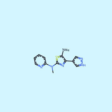 CNc1sc(N(C)c2ccccn2)nc1-c1cn[nH]c1